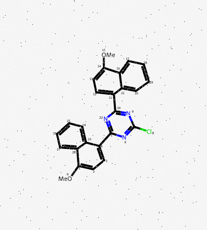 COc1ccc(-c2nc(Cl)nc(-c3ccc(OC)c4ccccc34)n2)c2ccccc12